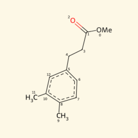 COC(=O)CCc1ccc(C)c(C)c1